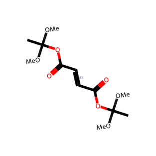 COC(C)(OC)OC(=O)/C=C/C(=O)OC(C)(OC)OC